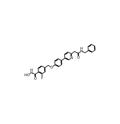 O=C(Cc1ccc(-c2ccc(OCc3ccc(C(=O)NO)c(F)c3)cc2)cn1)NCc1ccccc1